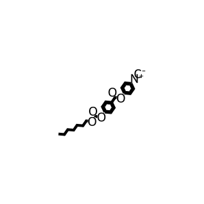 [C-]#[N+]c1ccc(OC(=O)c2ccc(OC(=O)OCCCCCCC)cc2)cc1